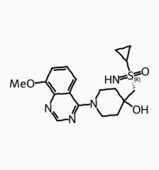 COc1cccc2c(N3CCC(O)(C[S@@](=N)(=O)C4CC4)CC3)ncnc12